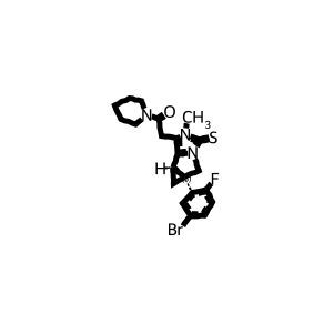 Cn1c(CC(=O)N2CCCCC2)c2n(c1=S)C[C@@]1(c3cc(Br)ccc3F)C[C@@H]21